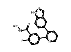 CCCNC(=O)c1cc(-c2ncccc2-c2ccc3[nH]ncc3c2)ccc1F